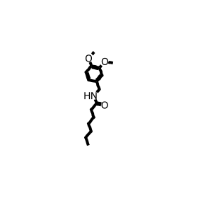 CCCCCCC(=O)NCc1ccc(OC)c(OC)c1